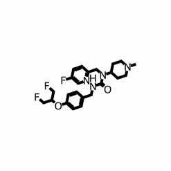 CN1CCC(N(Cc2ccc(F)cn2)C(=O)NCc2ccc(OC(CF)CF)cc2)CC1